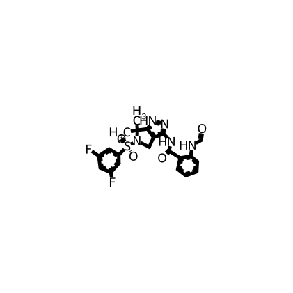 CC1(C)c2[nH]nc(NC(=O)c3ccccc3NC=O)c2CN1S(=O)(=O)c1cc(F)cc(F)c1